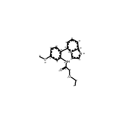 CCOCC(=O)Nc1cc(OC)ccc1-c1cccc2nccn12